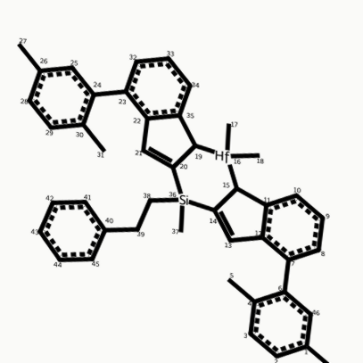 Cc1ccc(C)c(-c2cccc3c2C=C2[CH]3[Hf]([CH3])([CH3])[CH]3C(=Cc4c(-c5cc(C)ccc5C)cccc43)[Si]2(C)CCc2ccccc2)c1